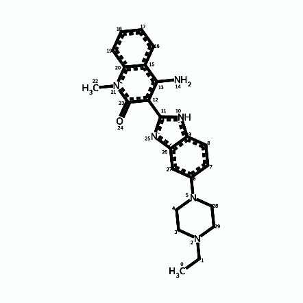 CCN1CCN(c2ccc3[nH]c(-c4c(N)c5ccccc5n(C)c4=O)nc3c2)CC1